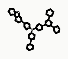 c1ccc(-c2ccc(N(c3ccc(-c4cc(-c5ccccc5)cc(-c5ccccc5)c4)cc3)c3ccc(-c4ccc5c(c4)sc4ccccc45)cc3)cc2)cc1